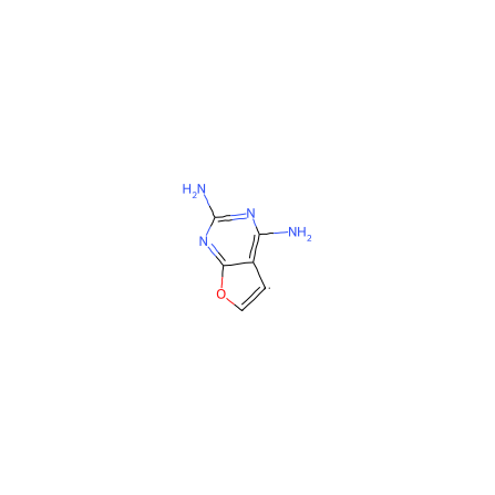 Nc1nc(N)c2[c]coc2n1